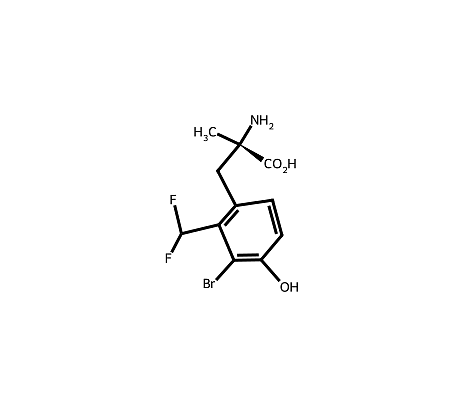 C[C@](N)(Cc1ccc(O)c(Br)c1C(F)F)C(=O)O